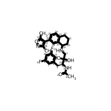 CC(=O)N[C@@H](Cc1cc(F)cc(F)c1)C(O)(O)CNC1CCCc2ccc(-c3c(C)noc3C)cc21